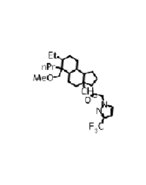 CCCC1(COC)C2CCC3(C)C(CC[C@@H]3C(=O)Cn3ccc(C(F)(F)F)n3)C2CC[C@@H]1CC